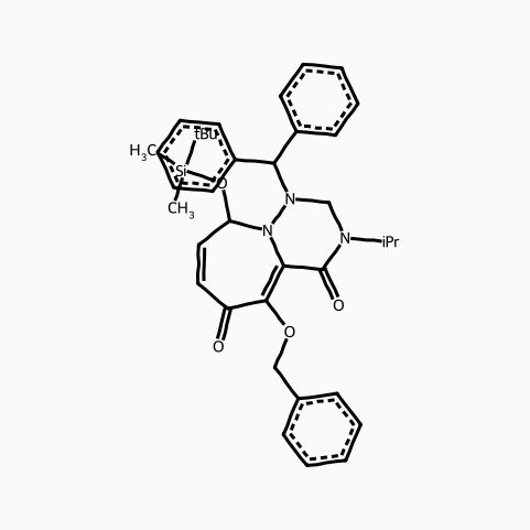 CC(C)N1CN(C(c2ccccc2)c2ccccc2)N2C(=C(OCc3ccccc3)C(=O)C=CC2O[Si](C)(C)C(C)(C)C)C1=O